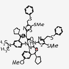 COc1ccc(N(C(=O)Nc2nc(CSc3ccccc3)c(SC)s2)N(C(=O)Nc2nc(CSc3ccccc3)c(SC)s2)c2ccc(N(C)C)cc2C(=O)C2CCCC2)c(C(=O)C2CCCC2)c1